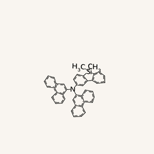 C[Si]1(C)c2ccccc2-c2cc(N(c3cc4ccccc4c4ccccc34)c3cc4ccccc4c4ccccc34)ccc21